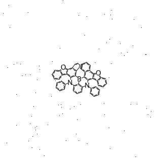 c1ccc2c(c#1)c1c(c3c4ccccc4oc23)N(c2ccccc2)c2cccc3c2B1c1c2c(c4oc5ccccc5c4c1N3c1ccccc1)C=CCC2